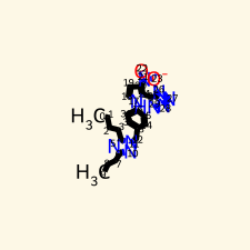 CCCCc1nc(CCC)nn1Cc1ccc(-n2ccc([N+](=O)[O-])c2-c2nnn[nH]2)cc1